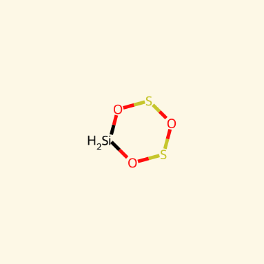 O1[SiH2]OSOS1